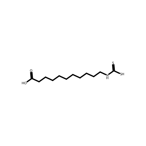 O=C(O)CCCCCCCCCCNC(=S)S